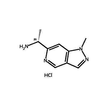 C[C@@H](N)c1cc2c(cn1)cnn2C.Cl